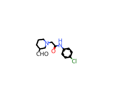 O=CC1CCCN(CC(=O)Nc2ccc(Cl)cc2)C1